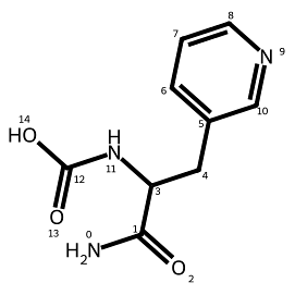 NC(=O)C(Cc1cccnc1)NC(=O)O